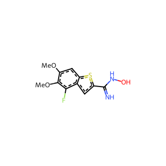 COc1cc2sc(C(=N)NO)cc2c(F)c1OC